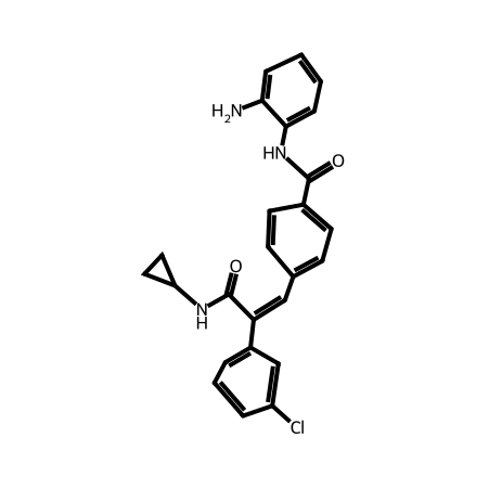 Nc1ccccc1NC(=O)c1ccc(C=C(C(=O)NC2CC2)c2cccc(Cl)c2)cc1